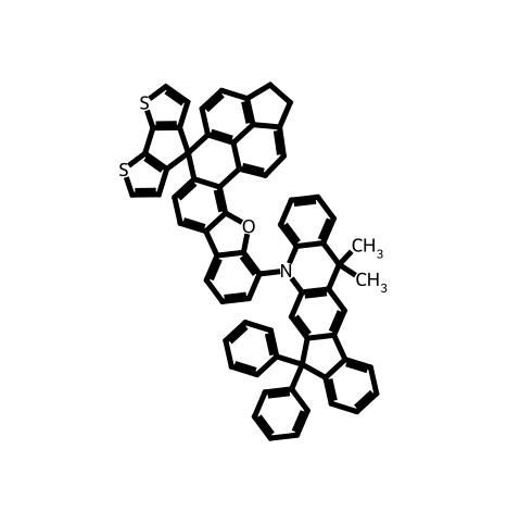 CC1(C)c2ccccc2N(c2cccc3c2oc2c4c(ccc23)C2(c3ccsc3-c3sccc32)c2ccc3c5c(ccc-4c25)CC3)c2cc3c(cc21)-c1ccccc1C3(c1ccccc1)c1ccccc1